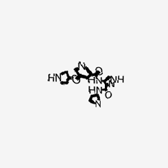 O=C(Nc1c[nH]nc1C(=O)Nc1cccnc1)c1cncc(OC2CCNCC2)c1